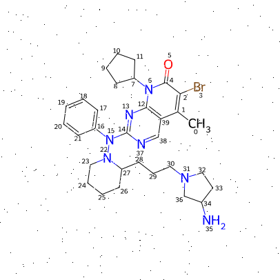 Cc1c(Br)c(=O)n(C2CCCC2)c2nc(N(c3ccccc3)N3CCCCC3CCCN3CCC(N)C3)ncc12